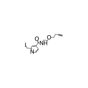 C#CCCOCCNC(=O)c1ccnc(CI)c1